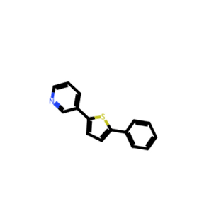 c1ccc(-c2ccc(-c3cccnc3)s2)cc1